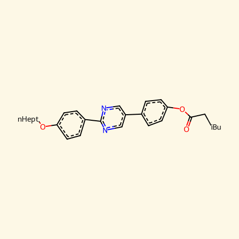 CCCCCCCOc1ccc(-c2ncc(-c3ccc(OC(=O)CC(C)CC)cc3)cn2)cc1